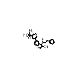 CC(C)(O)c1cncc(-c2ccc3ncc(C#N)c(NCCc4ccccc4)c3c2)c1